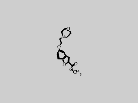 COC(=O)c1cc2cc(OCCN3CCOCC3)ccc2o1